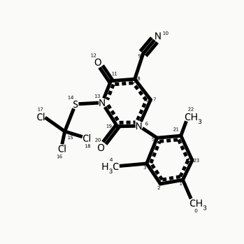 Cc1cc(C)c(-n2cc(C#N)c(=O)n(SC(Cl)(Cl)Cl)c2=O)c(C)c1